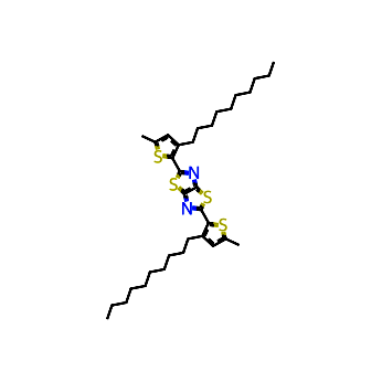 CCCCCCCCCCc1cc(C)sc1-c1nc2sc(-c3sc(C)cc3CCCCCCCCCC)nc2s1